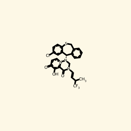 CC(/C=C/N1CN([C@H]2c3ccccc3CSc3ccc(Cl)cc32)n2ccc(=O)c(O)c2C1=O)C(F)(F)F